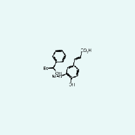 CCC(O)c1ccccc1.COc1cc(C=CC(=O)O)ccc1O